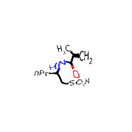 C=C(C)C(=O)NC(CCC)CS(=O)(=O)O